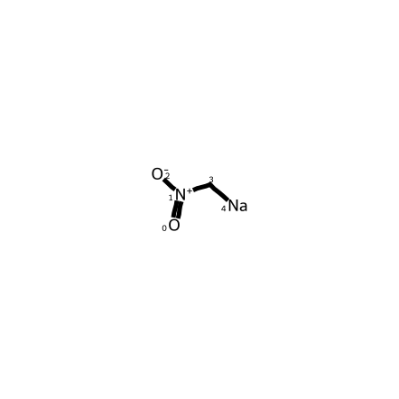 O=[N+]([O-])[CH2][Na]